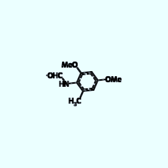 COc1cc(C)c(N[C]=O)c(OC)c1